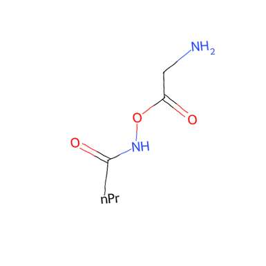 CCCC(=O)NOC(=O)CN